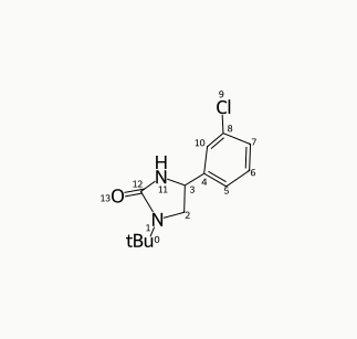 CC(C)(C)N1CC(c2cccc(Cl)c2)NC1=O